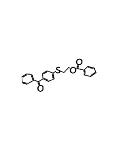 O=C(OCCSc1ccc(C(=O)c2ccccc2)cc1)c1ccccc1